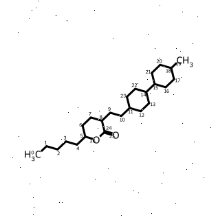 CCCCCC1CCC(CCC2CCC(C3CCC(C)CC3)CC2)C(=O)O1